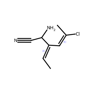 C/C=C(\C=C(/C)Cl)C(N)C#N